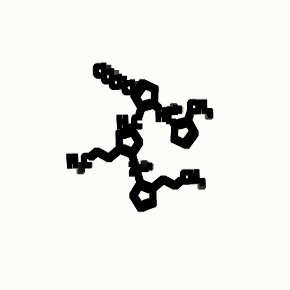 CC1=[C]([Hf+2][C]2=C(C)C=CC2)CC=C1.CCCC1=[C]([Zr+2][C]2=C(CCC)C=CC2)CC=C1.[Cl-].[Cl-].[Cl-].[Cl-]